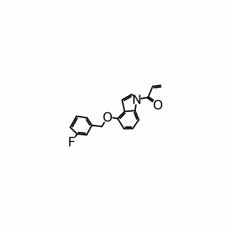 C=CC(=O)n1ccc2c(OCc3cccc(F)c3)cccc21